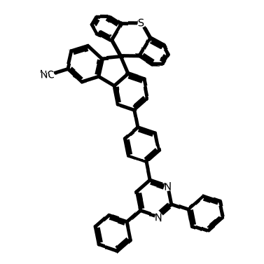 N#Cc1ccc2c(c1)-c1cc(-c3ccc(-c4cc(-c5ccccc5)nc(-c5ccccc5)n4)cc3)ccc1C21c2ccccc2Sc2ccccc21